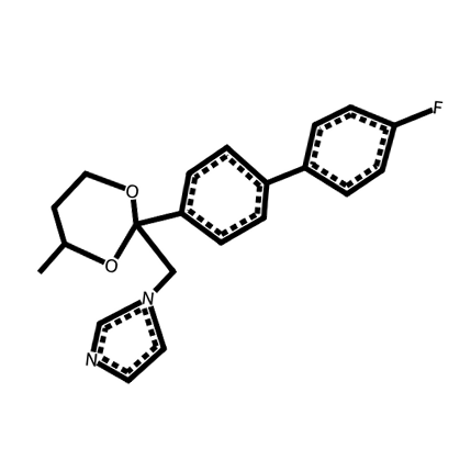 CC1CCOC(Cn2ccnc2)(c2ccc(-c3ccc(F)cc3)cc2)O1